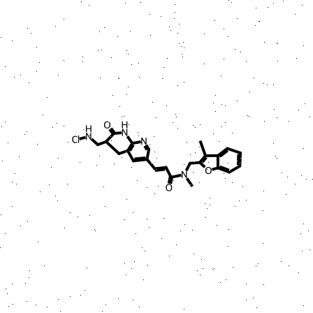 Cc1c(CN(C)C(=O)/C=C/c2cnc3c(c2)CC(CNCl)C(=O)N3)oc2ccccc12